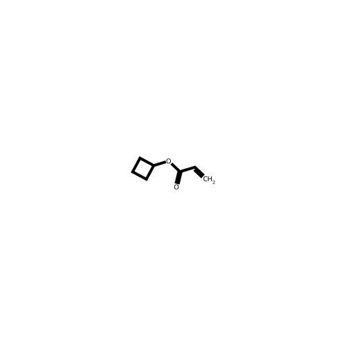 C=CC(=O)OC1CCC1